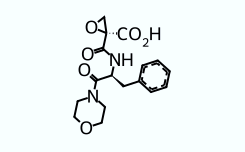 O=C([C@H](Cc1ccccc1)NC(=O)[C@]1(C(=O)O)CO1)N1CCOCC1